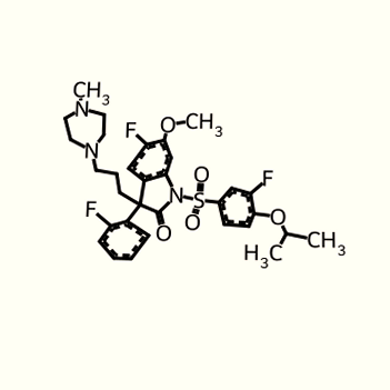 COc1cc2c(cc1F)C(CCCN1CCN(C)CC1)(c1ccccc1F)C(=O)N2S(=O)(=O)c1ccc(OC(C)C)c(F)c1